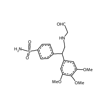 COc1cc(C(CNCC=O)c2ccc(S(N)(=O)=O)cc2)cc(OC)c1OC